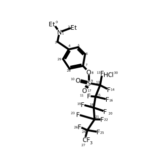 CCN(CC)Cc1ccc(OS(=O)(=O)C(F)(F)C(F)(F)C(F)(F)C(F)(F)C(F)(F)C(F)(F)F)cc1.Cl